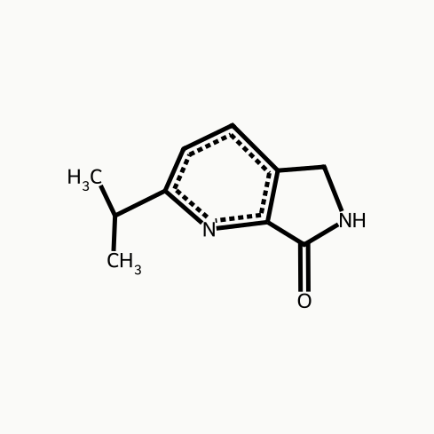 CC(C)c1ccc2c(n1)C(=O)NC2